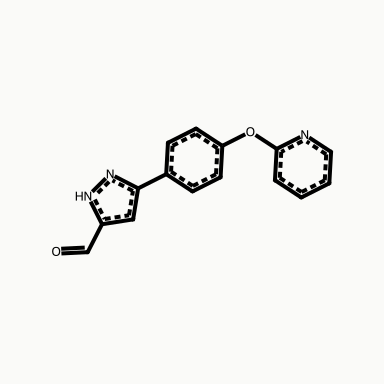 O=Cc1cc(-c2ccc(Oc3ccccn3)cc2)n[nH]1